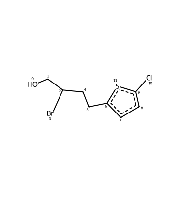 OCC(Br)CCc1ccc(Cl)s1